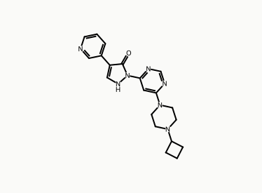 O=c1c(-c2cccnc2)c[nH]n1-c1cc(N2CCN(C3CCC3)CC2)ncn1